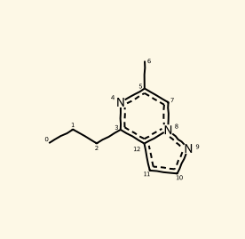 CCCc1nc(C)cn2nccc12